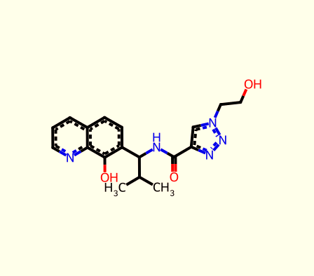 CC(C)C(NC(=O)c1cn(CCO)nn1)c1ccc2cccnc2c1O